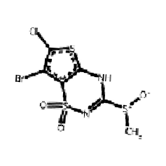 C[S+]([O-])C1=NS(=O)(=O)c2c(sc(Cl)c2Br)N1